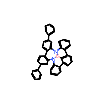 c1ccc(-c2ccc3c(c2)N2B4c5c(cccc5-c5ccccc5N4c4cc(-c5ccccc5)ccc4-3)-c3ccccc32)cc1